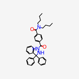 CCCCN(CCCC)C(=O)c1ccc(C(=O)NNC(c2ccccc2)(c2ccccc2)c2ccccc2)cc1